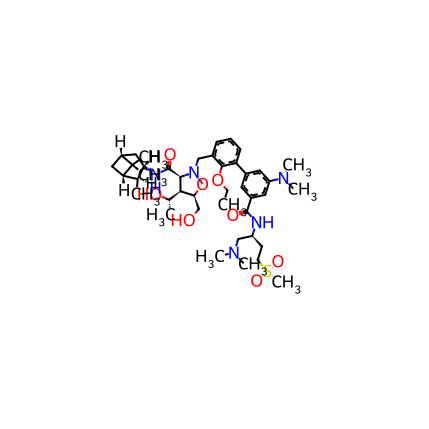 CCOc1c(CN2O[C@@H](CO)[C@@H]([C@H](C)O)[C@H]2C(=O)N[C@H]2C[C@H]3C[C@@H]([C@@H]2C)C3(C)C)cccc1-c1cc(C(=O)N[C@@H](CCS(C)(=O)=O)CN(C)C)cc(N(C)C)c1